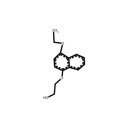 CCOc1ccc(OCCO)c2ccccc12